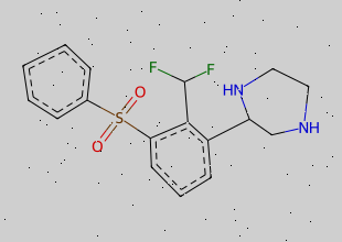 O=S(=O)(c1ccccc1)c1cccc(C2CNCCN2)c1C(F)F